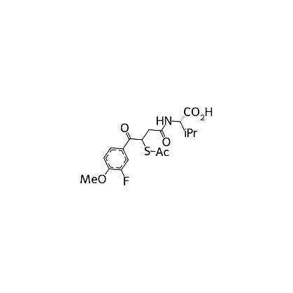 COc1ccc(C(=O)C(CC(=O)N[C@H](C(=O)O)C(C)C)SC(C)=O)cc1F